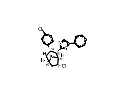 CN1[C@H]2CC[C@@H]1[C@@H](c1ncc(-c3ccccc3)s1)[C@@H](c1ccc(Cl)cc1)C2.Cl